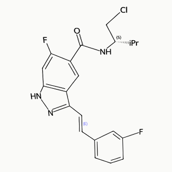 CC(C)[C@@H](CCl)NC(=O)c1cc2c(/C=C/c3cccc(F)c3)n[nH]c2cc1F